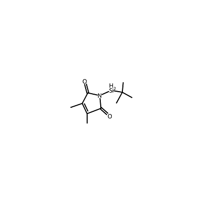 CC1=C(C)C(=O)N([SiH2]C(C)(C)C)C1=O